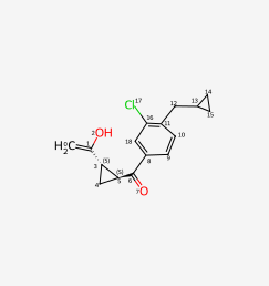 C=C(O)[C@H]1C[C@@H]1C(=O)c1ccc(CC2CC2)c(Cl)c1